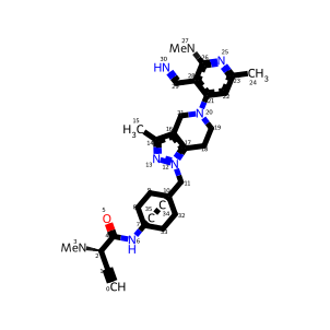 C#C[C@@H](NC)C(=O)NC12CCC(Cn3nc(C)c4c3CCN(c3cc(C)nc(NC)c3C=N)C4)(CC1)CC2